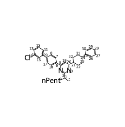 CCCCCC(C)c1nc(-c2ccc(-c3cccc(Cl)c3)cc2)cc(C2CCC(c3ccccc3)CC2)n1